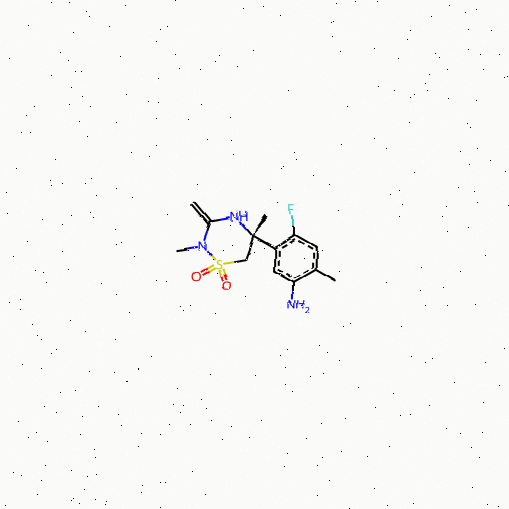 C=C1N[C@](C)(c2cc(N)c(C)cc2F)CS(=O)(=O)N1C